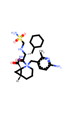 Cc1nc(N)ccc1C[N+]1(C(=O)[C@@H](CC2CCCCC2)NCS(N)(=O)=O)CCC[C@@H]2C[C@@]21C(N)=O